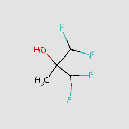 CC(O)(C(F)F)C(F)F